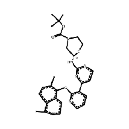 Cc1ccc2c(I)cccc2c1Oc1ncccc1-c1ccnc(N[C@H]2CCCN(C(=O)OC(C)(C)C)C2)n1